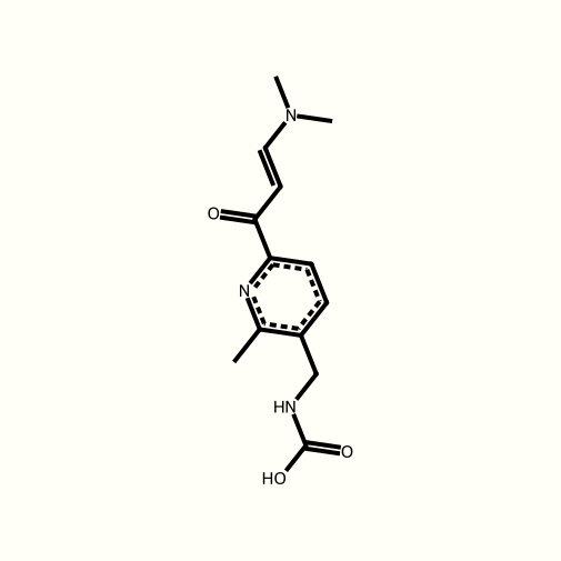 Cc1nc(C(=O)C=CN(C)C)ccc1CNC(=O)O